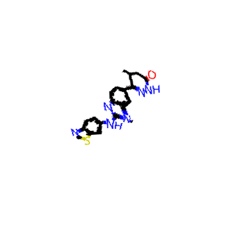 CC1CC(=O)NN=C1c1ccc2nc(Nc3ccc4ncsc4c3)n(C)c2c1